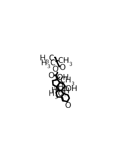 CCC(C)(C)C(=O)OCC(=O)[C@@]1(O)CC[C@H]2[C@@H]3CCC4=CC(=O)CC[C@]4(C)[C@H]3[C@@H](O)C[C@@]21C